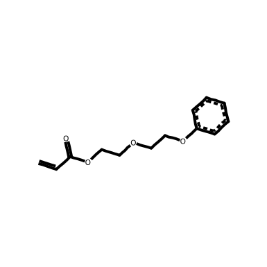 C=CC(=O)OCCOCCOc1ccccc1